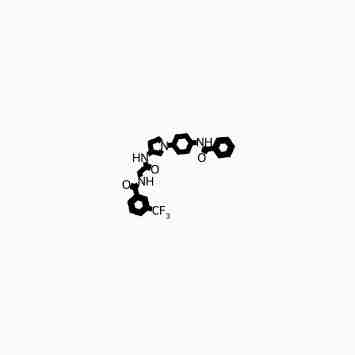 O=C(CNC(=O)c1cccc(C(F)(F)F)c1)NC1CCN(C2CCC(NC(=O)c3ccccc3)CC2)C1